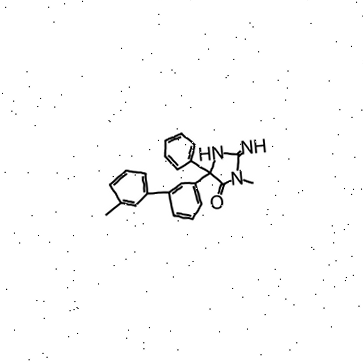 Cc1cccc(-c2cccc(C3(c4ccccc4)NC(=N)N(C)C3=O)c2)c1